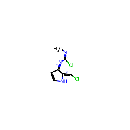 C\N=C(Cl)/N=C1/C=CN/C1=C\Cl